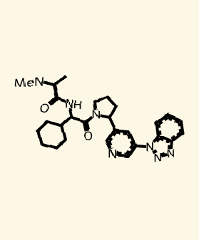 CNC(C)C(=O)NC(C(=O)N1CCCC1c1cncc(-n2nnc3ccccc32)c1)C1CCCCC1